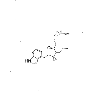 C#C[C@@H]1C[C@H]1CCC(=O)C(CCC)C1(CCc2cccc3[nH]ccc23)CC1